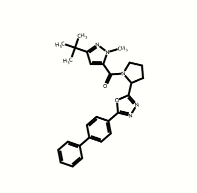 Cn1nc(C(C)(C)C)cc1C(=O)N1CCCC1c1nnc(-c2ccc(-c3ccccc3)cc2)o1